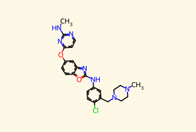 CNc1nccc(Oc2ccc3oc(Nc4ccc(Cl)c(CN5CCN(C)CC5)c4)nc3c2)n1